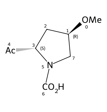 CO[C@@H]1C[C@@H](C(C)=O)N(C(=O)O)C1